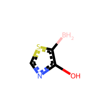 Bc1scnc1O